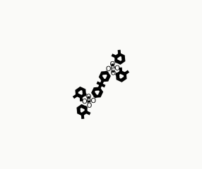 Cc1cccc(OP(=O)(Oc2ccc(C(C)(C)c3ccc(OP(=O)(Oc4cccc(C)c4C)Oc4cccc(C)c4C)cc3)cc2)Oc2cccc(C)c2C)c1C